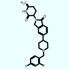 C=C1CCC(N2Cc3cc(C4CCN(Cc5ccc(F)cc5F)CC4)ccc3C2=O)C(=O)N1